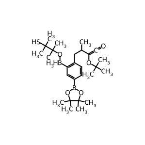 CC(Cc1ccc(B2OC(C)(C)C(C)(C)O2)cc1BOC(C)(C)C(C)(C)S)C(=C=O)OC(C)(C)C